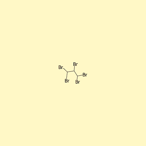 BrC(Br)C(Br)C(Br)Br